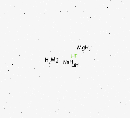 F.[LiH].[MgH2].[MgH2].[NaH]